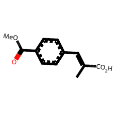 COC(=O)c1ccc(C=C(C)C(=O)O)cc1